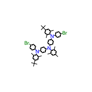 Cc1cc(C)c(N(c2ccc(N(c3ccc(Br)cc3)c3c(C)cc(C(C)(C)C)cc3C)cc2)c2ccc(N(c3ccc(Br)cc3)c3c(C)cc(C(C)(C)C)cc3C)cc2)c(C)c1